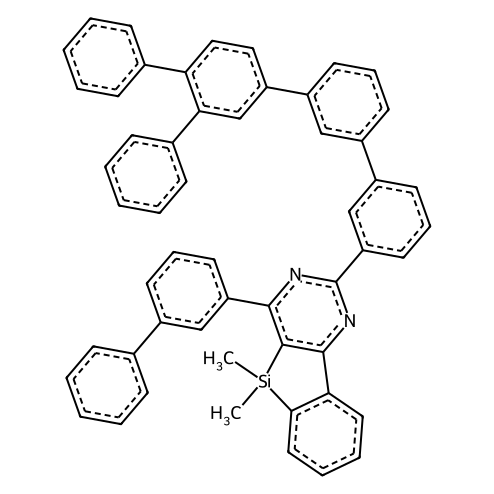 C[Si]1(C)c2ccccc2-c2nc(-c3cccc(-c4cccc(-c5ccc(-c6ccccc6)c(-c6ccccc6)c5)c4)c3)nc(-c3cccc(-c4ccccc4)c3)c21